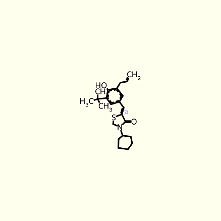 C=CCc1cc(/C=C2\SCN(C3CCCCC3)C2=O)cc(C(C)(C)C)c1O